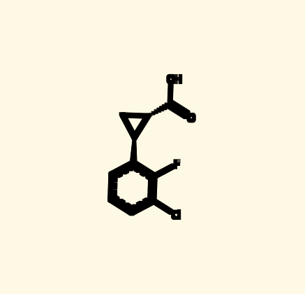 O=C(O)[C@H]1C[C@@H]1c1cccc(Cl)c1F